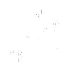 CCCCOC(=O)c1ccccc1-c1c2ccc(=NCC)cc-2oc2cc(N(CC)CC)ccc12